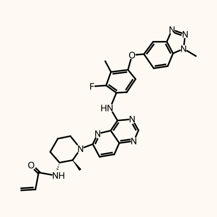 C=CC(=O)N[C@@H]1CCCN(c2ccc3ncnc(Nc4ccc(Oc5ccc6c(c5)nnn6C)c(C)c4F)c3n2)[C@H]1C